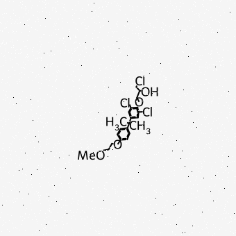 COCCCOc1ccc(C(C)(C)c2cc(Cl)c(OCC(O)CCl)c(Cl)c2)cc1